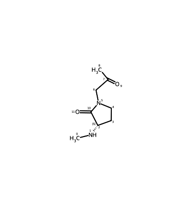 CN[C@H]1CCN(CC(C)=O)C1=O